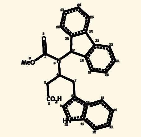 COC(=O)N(C(CC(=O)O)Cc1c[nH]c2ccccc12)C1c2ccccc2-c2ccccc21